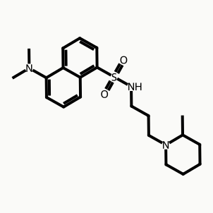 CC1CCCCN1CCCNS(=O)(=O)c1cccc2c(N(C)C)cccc12